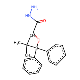 CC(C)(C)[Si](OCC(=O)NN)(c1ccccc1)c1ccccc1